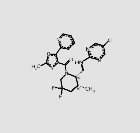 Cc1nc(C(=O)N2CC(F)(F)C[C@@H](C)[C@H]2CNc2ncc(Cl)cn2)c(-c2ccccn2)o1